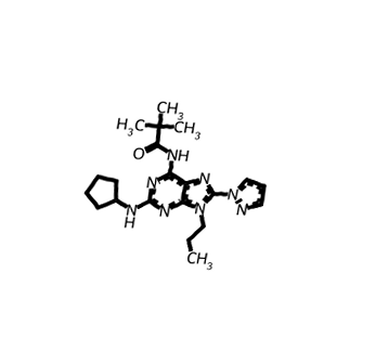 CCCn1c(-n2cccn2)nc2c(NC(=O)C(C)(C)C)nc(NC3CCCC3)nc21